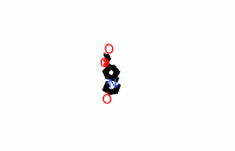 COCCOC1CCC(C)(N2CCC(=O)CC2)CC1